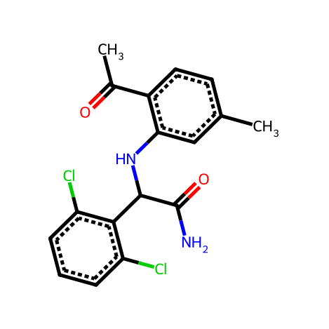 CC(=O)c1ccc(C)cc1NC(C(N)=O)c1c(Cl)cccc1Cl